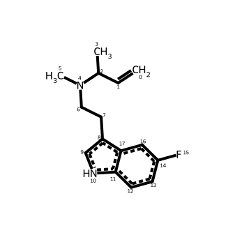 C=CC(C)N(C)CCc1c[nH]c2ccc(F)cc12